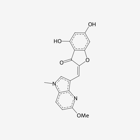 COc1ccc2c(n1)c(C=C1Oc3cc(O)cc(O)c3C1=O)cn2C